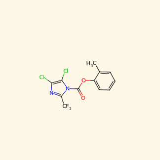 Cc1ccccc1OC(=O)n1c(C(F)(F)F)nc(Cl)c1Cl